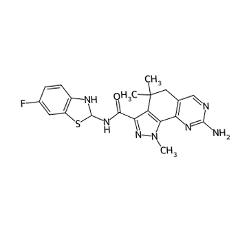 Cn1nc(C(=O)NC2Nc3ccc(F)cc3S2)c2c1-c1nc(N)ncc1CC2(C)C